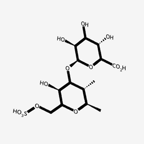 C[C@H]1OC(COS(=O)(=O)O)[C@@H](O)C(O[C@@H]2OC(C(=O)O)[C@@H](O)C(O)[C@@H]2O)[C@@H]1C